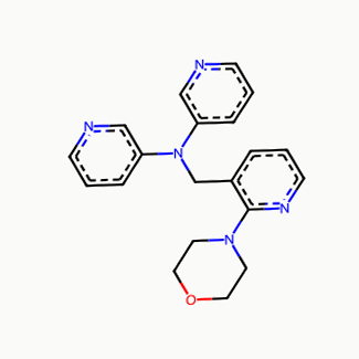 c1cncc(N(Cc2cccnc2N2CCOCC2)c2cccnc2)c1